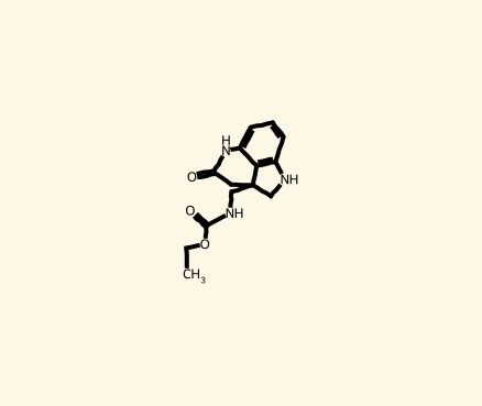 CCOC(=O)NCC12CNc3cccc(c31)NC(=O)C2